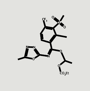 CCOC(=O)OC(C)OC(=Nc1nnc(C)o1)c1ccc(C(F)(F)F)c(S(C)(=O)=O)c1C